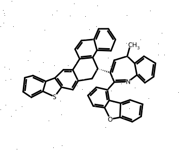 CC1C=C([C@@H]2Cc3cc4sc5ccccc5c4cc3-c3ccc4ccccc4c32)C(c2cccc3oc4ccccc4c23)=Nc2ccccc21